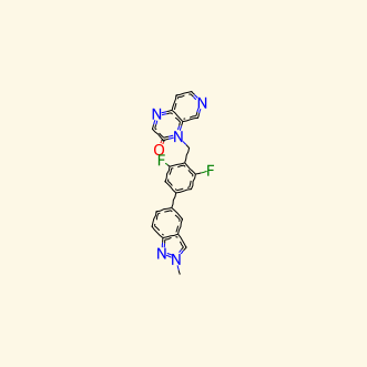 Cn1cc2cc(-c3cc(F)c(Cn4c(=O)cnc5ccncc54)c(F)c3)ccc2n1